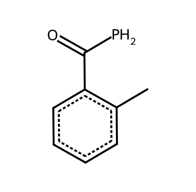 Cc1ccccc1C(=O)P